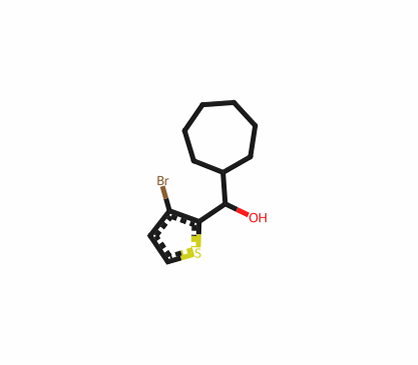 OC(c1sccc1Br)C1CCCCCC1